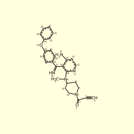 C#CC(=O)N1CCC(N(C)c2ncnc(N)c2C(=N)c2ccc(Oc3ccccc3)cc2)CC1